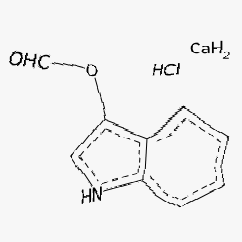 Cl.O=COc1c[nH]c2ccccc12.[CaH2]